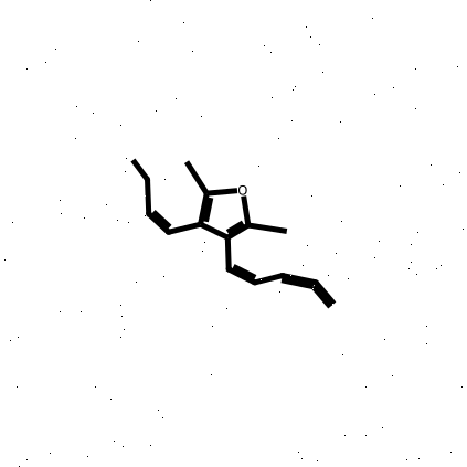 C=C=C/C=C\c1c(C)oc(C)c1/C=C\CC